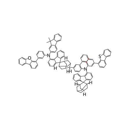 CC1(C)c2ccccc2-c2ccc(N(c3cccc(-c4cccc5c4oc4ccccc45)c3)c3cccc4c3-c3ccccc3C43[C@H]4CC5C[C@H]3C[C@H](C4)[C@H]5c3ccc(N(c4cccc(-c5cccc6c5sc5ccccc56)c4)c4cccc5c4-c4ccccc4[C@]54[C@H]5CC6C[C@H](C5)C[C@@H]4C6)c(-c4ccccc4)c3)cc21